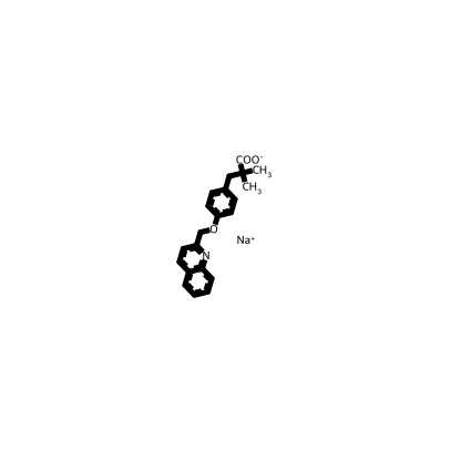 CC(C)(Cc1ccc(OCc2ccc3ccccc3n2)cc1)C(=O)[O-].[Na+]